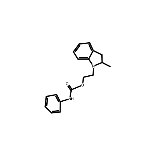 CC1Cc2ccccc2N1CCOC(=O)Nc1ccccc1